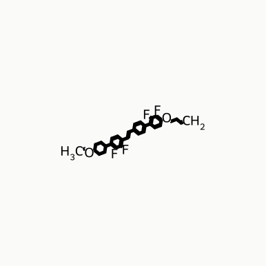 C=CCCOc1ccc(-c2ccc(/C=C/c3ccc(C4CCC(OCC)CC4)c(F)c3F)cc2)c(F)c1F